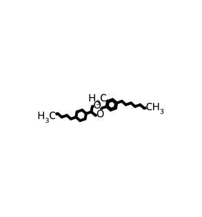 CCCCCCCc1ccc(C2OCC(C3CCC(CCCCC)CC3)CO2)c(C)c1